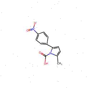 Cc1ccc(-c2ccc([N+](=O)[O-])cc2)n1C(=O)O